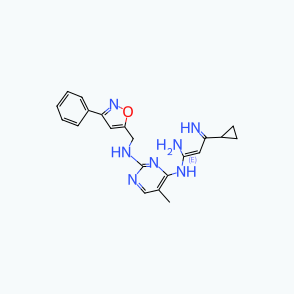 Cc1cnc(NCc2cc(-c3ccccc3)no2)nc1N/C(N)=C/C(=N)C1CC1